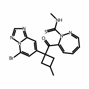 CNC(=S)N1N=CC=CC=C1C(=O)C1(c2cc(Br)n3ncnc3c2)CC(C)C1